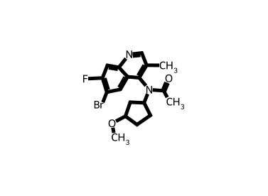 COC1CCC(N(C(C)=O)c2c(C)cnc3cc(F)c(Br)cc23)C1